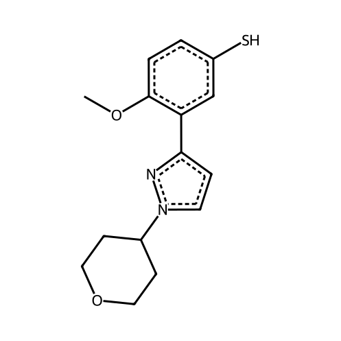 COc1ccc(S)cc1-c1ccn(C2CCOCC2)n1